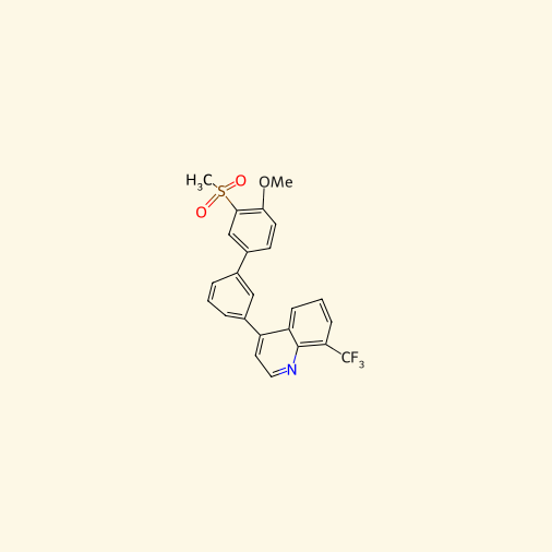 COc1ccc(-c2cccc(-c3ccnc4c(C(F)(F)F)cccc34)c2)cc1S(C)(=O)=O